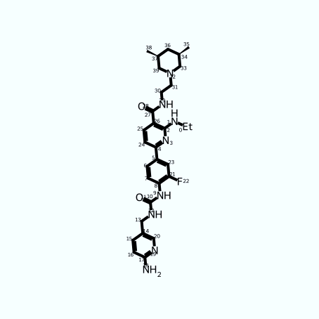 CCNc1nc(-c2ccc(NC(=O)NCc3ccc(N)nc3)c(F)c2)ccc1C(=O)NCCN1C[C@H](C)C[C@H](C)C1